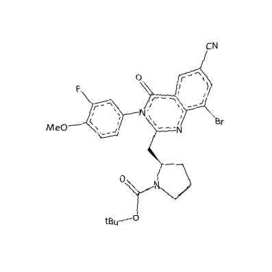 COc1ccc(-n2c(C[C@H]3CCCN3C(=O)OC(C)(C)C)nc3c(Br)cc(C#N)cc3c2=O)cc1F